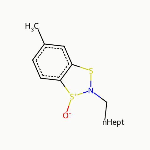 CCCCCCCCN1Sc2cc(C)ccc2[S+]1[O-]